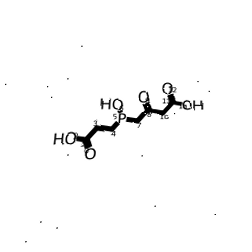 O=C(O)CCP(O)CC(=O)CC(=O)O